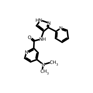 CN(C)c1ccnc(C(=O)Nc2c[nH]nc2-c2ccccn2)c1